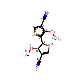 COc1c(C#N)csc1C1SC=C(C#N)[C@H]1OC